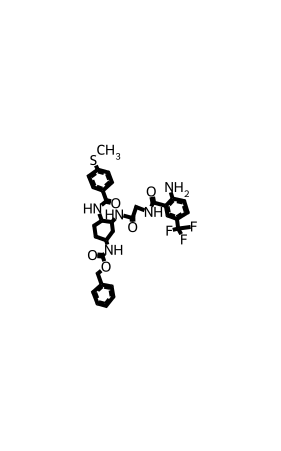 CSc1ccc(C(=O)NC2CCC(NC(=O)OCc3ccccc3)CC2NC(=O)CNC(=O)c2cc(C(F)(F)F)ccc2N)cc1